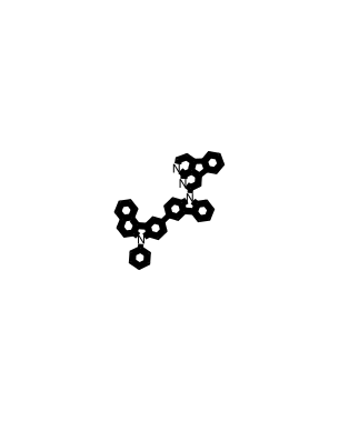 c1ccc(-n2c3ccc(-c4ccc5c(c4)c4ccccc4n5-c4cc5c6c(ccnc6n4)-c4ccccc4-5)cc3c3c4ccccc4ccc32)cc1